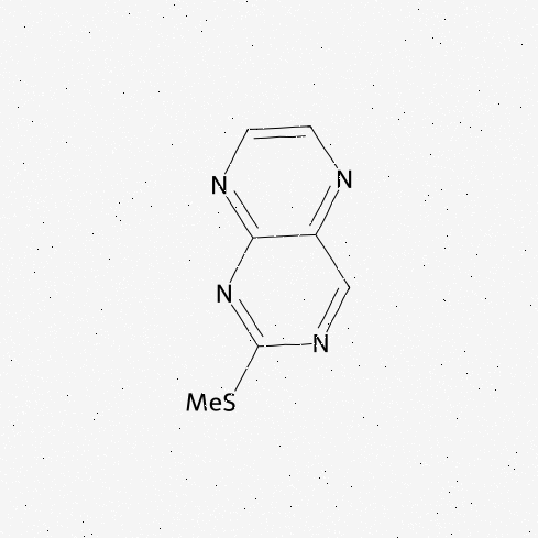 CSc1ncc2nccnc2n1